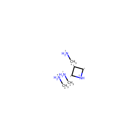 C1CNC1.CN.CN.CN